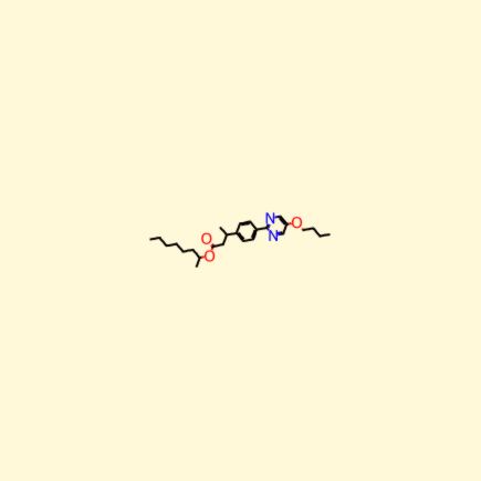 CCCCCCC(C)OC(=O)CC(C)c1ccc(-c2ncc(OCCCC)cn2)cc1